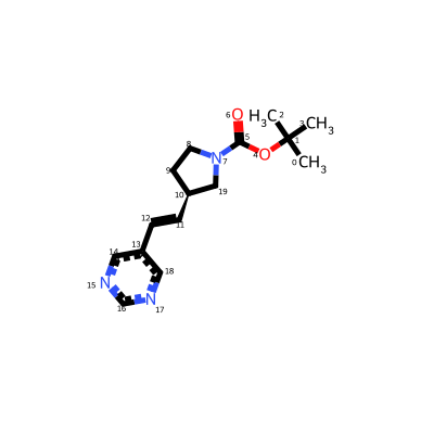 CC(C)(C)OC(=O)N1CC[C@H](/C=C/c2cncnc2)C1